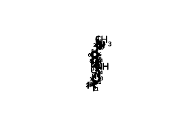 Cn1cc(-c2ccc3cnc(NC(=O)CN4CCC(C(F)F)CC4)nc3c2)cn1